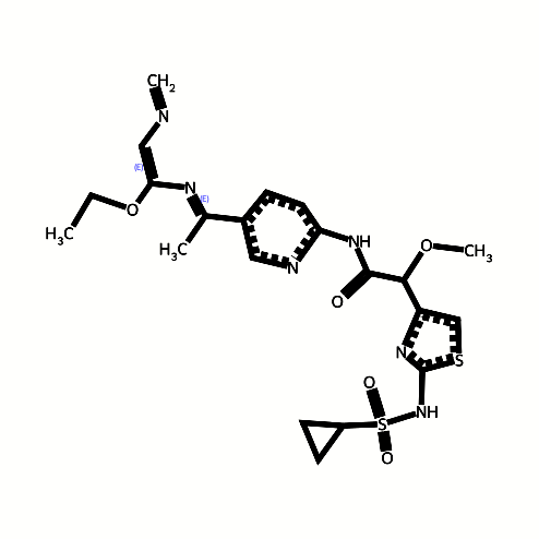 C=N/C=C(\N=C(/C)c1ccc(NC(=O)C(OC)c2csc(NS(=O)(=O)C3CC3)n2)nc1)OCC